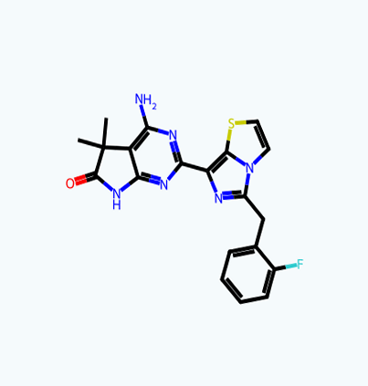 CC1(C)C(=O)Nc2nc(-c3nc(Cc4ccccc4F)n4ccsc34)nc(N)c21